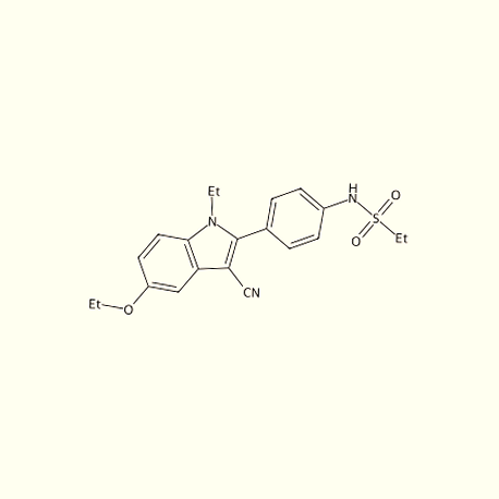 CCOc1ccc2c(c1)c(C#N)c(-c1ccc(NS(=O)(=O)CC)cc1)n2CC